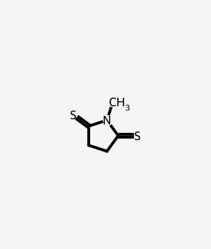 CN1C(=S)CCC1=S